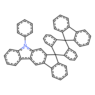 c1ccc(-n2c3ccccc3c3cc4c(cc32)C2(c3ccccc3-4)c3ccccc3C3(c4ccccc4-c4ccccc43)c3ccccc32)cc1